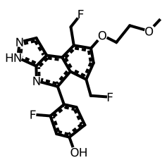 COCCOc1cc(CF)c2c(-c3ccc(O)cc3F)nc3[nH]ncc3c2c1CF